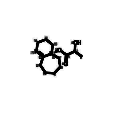 CC(O)C(=O)O[N+]12CCCCCC1=NCCC2